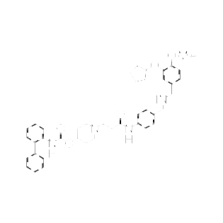 COc1ccc(CNCc2ccc(NC(=O)CCN3CCC(OC(=O)Nc4ccccc4-c4ccccc4)CC3)cc2)cc1OC1CCCC1